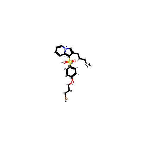 CCCCc1cn2ccccc2c1S(=O)(=O)c1ccc(OCCCBr)cc1